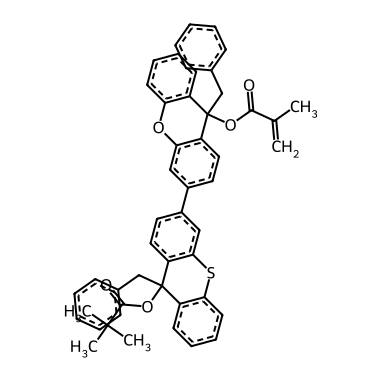 C=C(C)C(=O)OC1(Cc2ccccc2)c2ccccc2Oc2cc(-c3ccc4c(c3)Sc3ccccc3C4(Cc3ccccc3)OC(=O)C(C)(C)C)ccc21